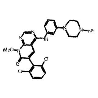 CCCN1CCN(c2cccc(Nc3ncnc4c3cc(-c3c(Cl)cccc3Cl)c(=O)n4OC)c2)CC1